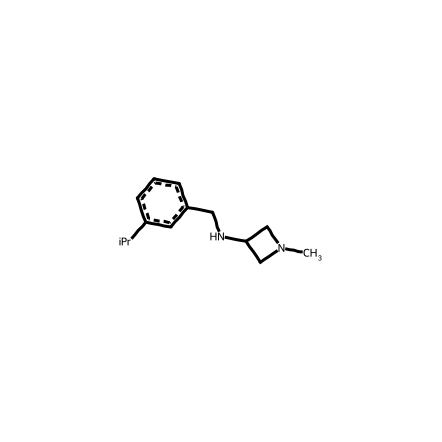 CC(C)c1cccc(CNC2CN(C)C2)c1